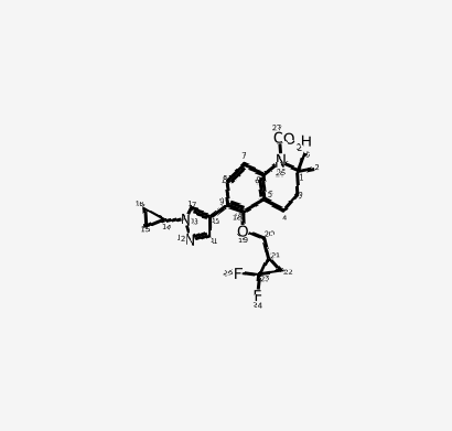 CC1(C)CCc2c(ccc(-c3cnn(C4CC4)c3)c2OCC2CC2(F)F)N1C(=O)O